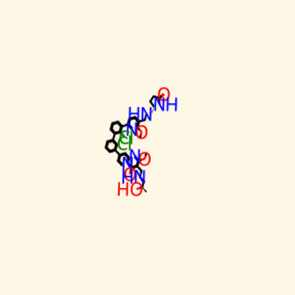 COc1nc(-c2cccc(-c3cccc(-c4ccn5c(=O)c(CNC[C@@H](C)O)c(OC)nc5c4)c3Cl)c2Cl)ccc1CNC[C@@H]1CCC(=O)N1